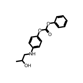 CC(O)CNc1ccc(OC(=O)Oc2ccccc2)cc1